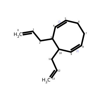 C=CCC1/C=C\CC/C=C\C1CC=C